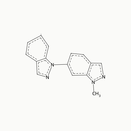 Cn1ncc2ccc(-n3ncc4cc[c]cc43)cc21